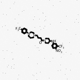 O=C(CCCN1CCCN(c2ccc(C(F)(F)F)cc2)CC1)N1CCC(Nc2ccc([N+](=O)[O-])c(C(F)(F)F)c2)CC1